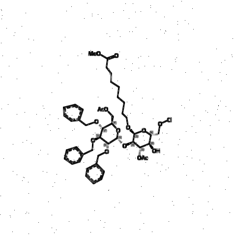 COC(=O)CCCCCCCCO[C@H]1O[C@H](COCl)[C@@H](O)[C@H](OC(C)=O)[C@H]1O[C@H]1O[C@H](COC(C)=O)[C@@H](OCc2ccccc2)[C@H](OCc2ccccc2)[C@H]1OCc1ccccc1